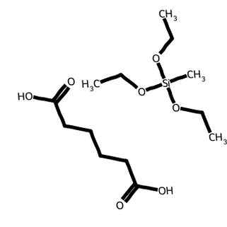 CCO[Si](C)(OCC)OCC.O=C(O)CCCCC(=O)O